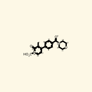 Cc1c(-c2ccc(C(=O)N3CCOCC3)cc2)ccn(C(=O)O)c1=O